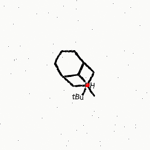 CC1CC2CCCC(C1)C2NC(C)(C)C